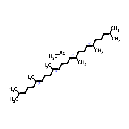 CC(C)=CCC/C(C)=C/CC/C(C)=C/CC/C=C(\C)CC/C=C(\C)CCC=C(C)C.CC(C)=O